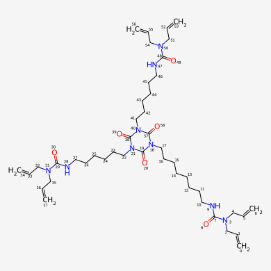 C=CCN(CC=C)C(=O)NCCCCCCCCn1c(=O)n(CCCCCCNC(=O)N(CC=C)CC=C)c(=O)n(CCCCCCNC(=O)N(CC=C)CC=C)c1=O